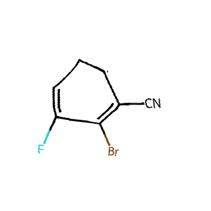 N#CC1=C(Br)C(F)=CC[CH]1